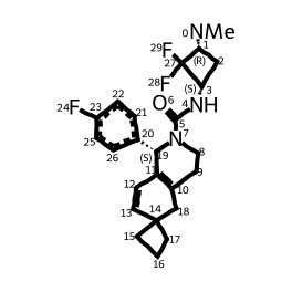 CN[C@@H]1C[C@H](NC(=O)N2CCC3=C(C=CC4(CCC4)C3)[C@@H]2c2ccc(F)cc2)C1(F)F